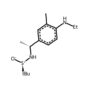 CCNc1ccc([C@@H](C)N[S@+]([O-])C(C)(C)C)cc1C